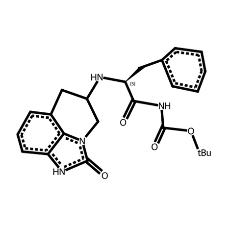 CC(C)(C)OC(=O)NC(=O)[C@H](Cc1ccccc1)NC1Cc2cccc3[nH]c(=O)n(c23)C1